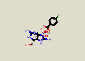 C[C@]1(O)[C@@H](OC(=O)c2ccc(F)cc2)CN2C(=N)N[C@@H](CO)C3NC(=N)N(O)C321